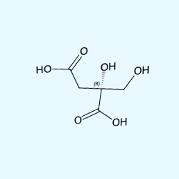 O=C(O)C[C@@](O)(CO)C(=O)O